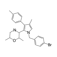 Cc1ccc(-c2c(C)cn(Cc3ccc(Br)cc3)c2C2[N]CC(C)OC2C)cc1